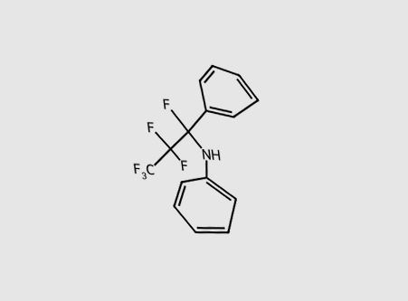 FC(F)(F)C(F)(F)C(F)(Nc1ccccc1)c1ccccc1